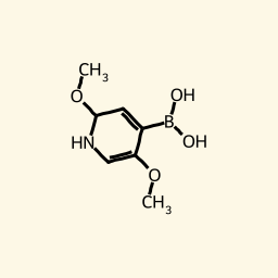 COC1=CNC(OC)C=C1B(O)O